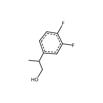 C[C](CO)c1ccc(F)c(F)c1